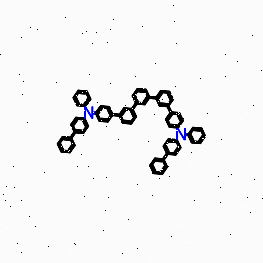 c1ccc(-c2ccc(N(c3ccccc3)c3ccc(-c4cccc(-c5cccc(-c6cccc(-c7ccc(N(c8ccccc8)c8ccc(-c9ccccc9)cc8)cc7)c6)c5)c4)cc3)cc2)cc1